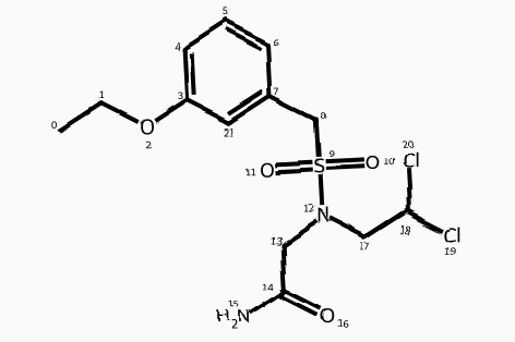 CCOc1cccc(CS(=O)(=O)N(CC(N)=O)CC(Cl)Cl)c1